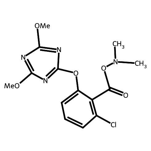 COc1nc(OC)nc(Oc2cccc(Cl)c2C(=O)ON(C)C)n1